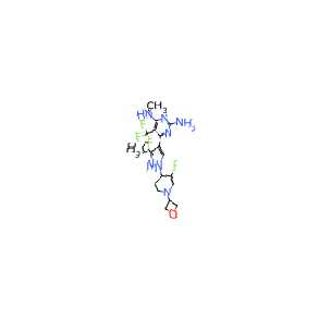 CNc1nc(N)nc(-c2cn(C3CCN(C4COC4)CC3F)nc2C)c1C(F)(F)F